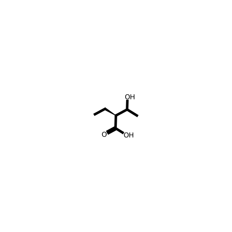 CC[C@H](C(=O)O)C(C)O